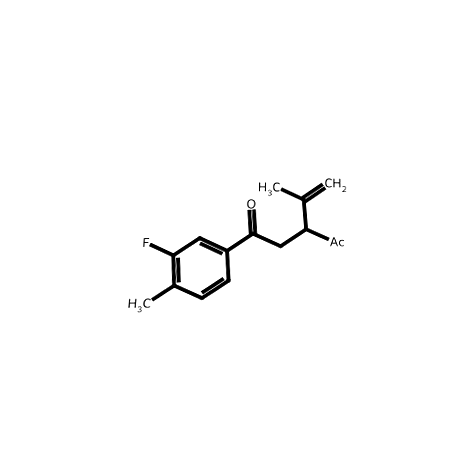 C=C(C)C(CC(=O)c1ccc(C)c(F)c1)C(C)=O